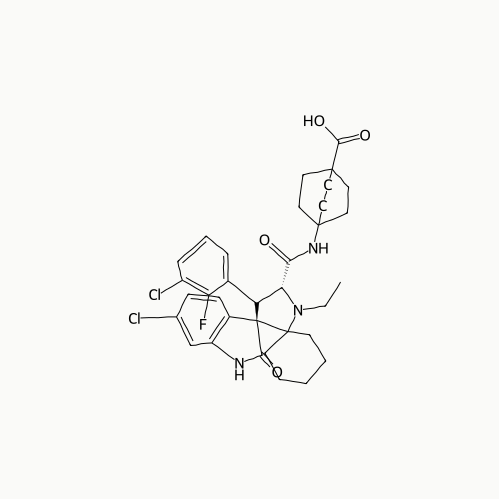 CCN1[C@@H](C(=O)NC23CCC(C(=O)O)(CC2)CC3)C(c2cccc(Cl)c2F)[C@]2(C(=O)Nc3cc(Cl)ccc32)C12CCCCC2